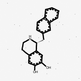 Oc1cc2c(cc1O)[C@@H](Cc1ccc3ccccc3c1)NCC2